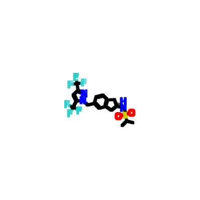 CC(C)S(=O)(=O)N[C@@H]1Cc2ccc(Cn3nc(C(F)(F)F)cc3C(F)(F)F)cc2C1